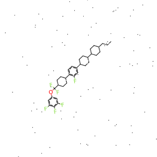 CCCC1CCC(C2CCC(c3ccc(C4CCC(C(F)(F)Oc5cc(F)c(F)c(F)c5)CC4)c(F)c3)CC2)CC1